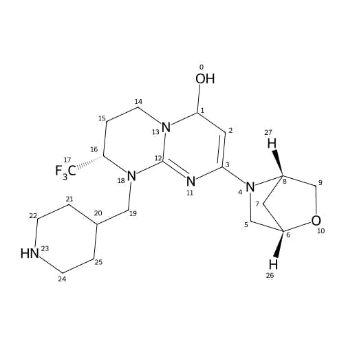 OC1C=C(N2C[C@@H]3C[C@H]2CO3)N=C2N1CC[C@@H](C(F)(F)F)N2CC1CCNCC1